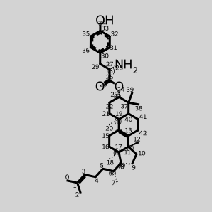 CC(C)=CCC[C@@H](C)[C@H]1CC[C@@]2(C)C3=C(CC[C@]12C)[C@@]1(C)CC[C@H](OC(=O)[C@@H](N)Cc2ccc(O)cc2)C(C)(C)C1CC3